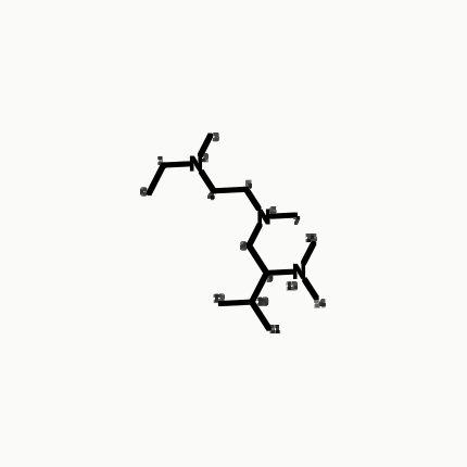 CCN(C)CCN(C)CC(C(C)C)N(C)C